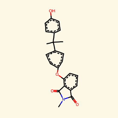 CN1C(=O)c2cccc(Oc3ccc(C(C)(C)c4ccc(O)cc4)cc3)c2C1=O